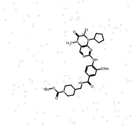 CC[C@@H]1C(=O)N(C)c2cnc(Nc3ccc(C(=O)NCC4CCN(C(=O)OC(C)(C)C)CC4)cc3OC)nc2N1C1CCCC1